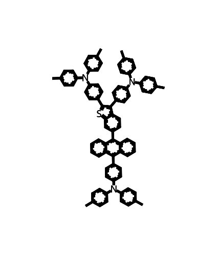 Cc1ccc(N(c2ccc(C)cc2)c2ccc(-c3sc4cc(-c5c6ccccc6c(-c6ccc(N(c7ccc(C)cc7)c7ccc(C)cc7)cc6)c6ccccc56)ccc4c3-c3ccc(N(c4ccc(C)cc4)c4ccc(C)cc4)cc3)cc2)cc1